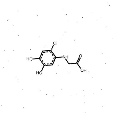 O=C(O)CNc1cc(O)c(O)cc1Cl